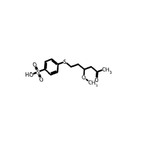 COC(CCSc1ccc(S(=O)(=O)O)cc1)CC(C)=O